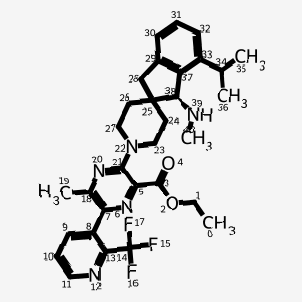 CCOC(=O)c1nc(-c2cccnc2C(F)(F)F)c(C)nc1N1CCC2(CC1)Cc1cccc(C(C)C)c1[C@H]2NC